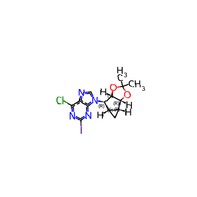 CC1(C)O[C@@H]2[C@@H]3C[C@@H]3[C@@H](n3cnc4c(Cl)nc(I)nc43)[C@@H]2O1